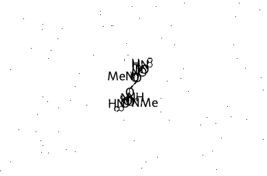 CN[C@@H](C)C(=O)N[C@@H](COCC#CC#CCOC[C@H](NC(=O)[C@H](C)NC)C(=O)N1CCC[C@H]1C(=O)N[C@@H]1CCCc2ccccc21)C(=O)N1CCC[C@H]1C(=O)N[C@@H]1CCCc2ccccc21